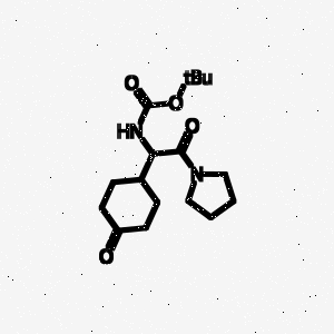 CC(C)(C)OC(=O)NC(C(=O)N1CCCC1)C1CCC(=O)CC1